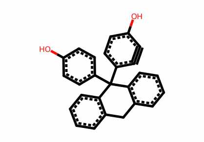 Oc1c#cc(C2(c3ccc(O)cc3)c3ccccc3Cc3ccccc32)cc1